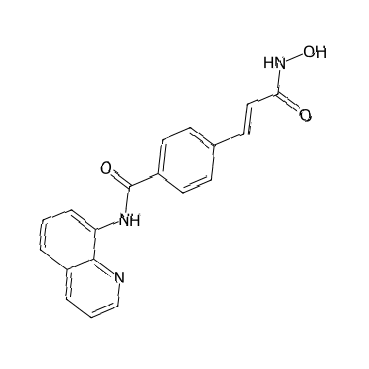 O=C(/C=C/c1ccc(C(=O)Nc2cccc3cccnc23)cc1)NO